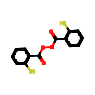 O=C(OOC(=O)c1ccccc1S)c1ccccc1S